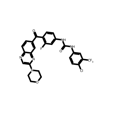 O=C(Nc1ccc(C(=O)c2ccc3ncc(N4CCOCC4)nc3c2)c(F)c1)Nc1ccc(Cl)c(C(F)(F)F)c1